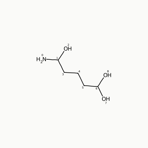 NC(O)CCCC(O)O